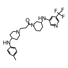 Cc1ccc(NC2CCN(CCC(=O)N3CCC[C@H](Nc4cncc(C(F)(F)F)c4)C3)CC2)cc1